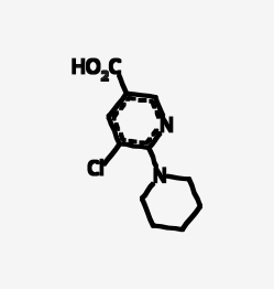 O=C(O)c1cnc(N2CCCCC2)c(Cl)c1